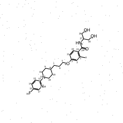 Cc1cc(OCCCC2CCN(c3ccc(F)cn3)CC2)ccc1C(=O)NC(CO)CO